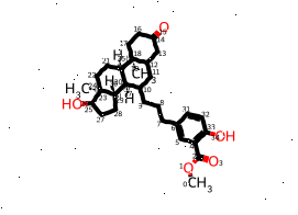 COC(=O)c1cc(CCCC2CC3CC(=O)CC[C@]3(C)[C@@H]3CC[C@]4(C)C(O)CC[C@H]4[C@H]23)ccc1O